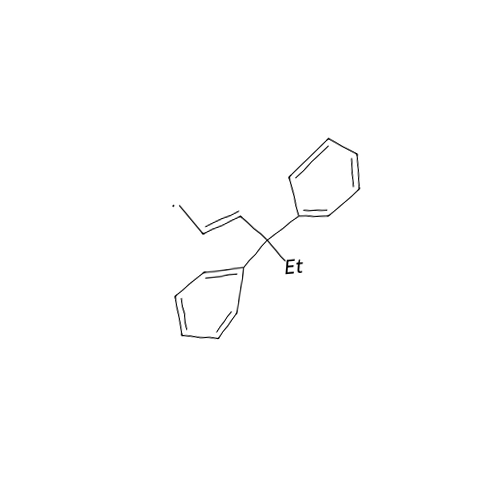 [CH2]C=CC(CC)(c1ccccc1)c1ccccc1